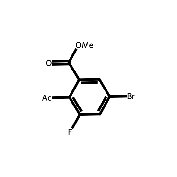 COC(=O)c1cc(Br)cc(F)c1C(C)=O